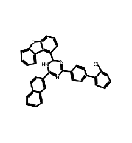 Clc1ccccc1-c1ccc(C2=NC(c3cccc4oc5ccccc5c34)NC(c3ccc4ccccc4c3)=N2)cc1